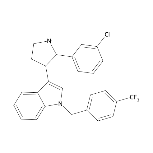 FC(F)(F)c1ccc(Cn2cc(C3CC[N]C3c3cccc(Cl)c3)c3ccccc32)cc1